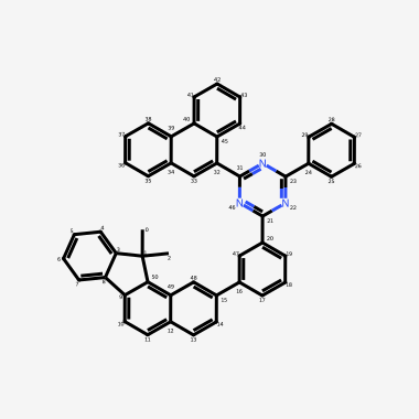 CC1(C)c2ccccc2-c2ccc3ccc(-c4cccc(-c5nc(-c6ccccc6)nc(-c6cc7ccccc7c7ccccc67)n5)c4)cc3c21